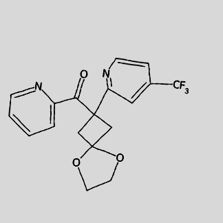 O=C(c1ccccn1)C1(c2cc(C(F)(F)F)ccn2)CC2(C1)OCCO2